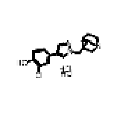 Cl.Cl.Oc1ccc(-c2cnn(CC3CN4CCC3CC4)c2)cc1Cl